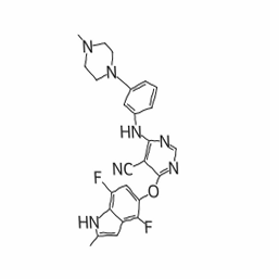 Cc1cc2c(F)c(Oc3ncnc(Nc4cccc(N5CCN(C)CC5)c4)c3C#N)cc(F)c2[nH]1